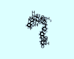 CC[C@@]12CNc3nnc(-c4cccc(F)c4O)cc3N1CCN(C(=O)N1[C@H](C)CN(CC3CCN(c4ccc5c(c4)C(=O)N([C@@H]4CCC(=O)NC4=O)C5)CC3)C[C@@H]1C)C2